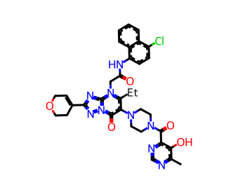 CCc1c(N2CCN(C(=O)c3ncnc(C)c3O)CC2)c(=O)n2nc(C3=CCOCC3)nc2n1CC(=O)Nc1ccc(Cl)c2ccccc12